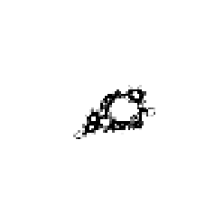 O=C1Cc2cccc(c2)N[C@@H]2CC[C@H]2CN2C[C@@]3(CCCc4cc(Cl)ccc43)COc3ccc(cc32)S(=O)(=O)N1